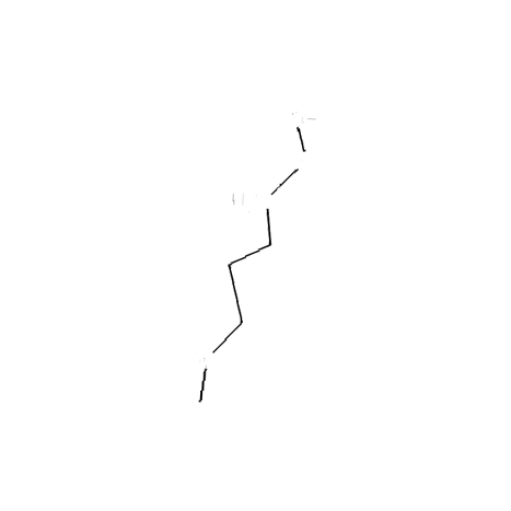 C[Se]CCC[SiH2]O[SiH3]